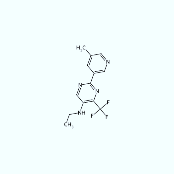 CCNc1cnc(-c2cncc(C)c2)nc1C(F)(F)F